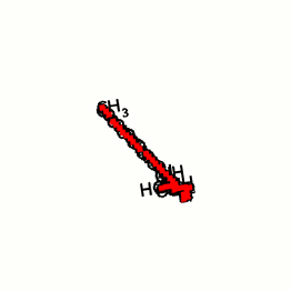 COCCOCCOCCOCCOCCOCCOCCOCCOCCOCCOCCOCCC(=O)NCCCC[C@H](NC(=O)OCC1c2ccccc2-c2ccccc21)C(=O)NCCC(=O)O